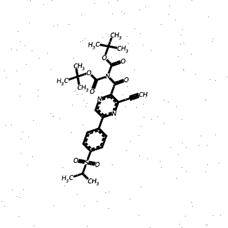 C#Cc1nc(-c2ccc(S(=O)(=O)C(C)C)cc2)cnc1C(=O)N(C(=O)OC(C)(C)C)C(=O)OC(C)(C)C